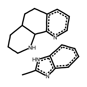 Cc1nc2ccccc2[nH]1.c1cnc2c(c1)CCC1CCCNC21